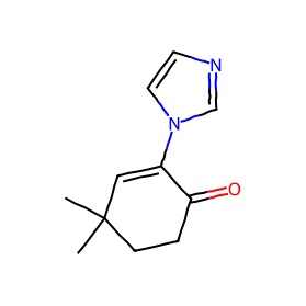 CC1(C)C=C(n2ccnc2)C(=O)CC1